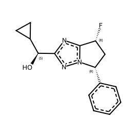 O[C@H](c1nc2n(n1)[C@@H](c1ccccc1)C[C@H]2F)C1CC1